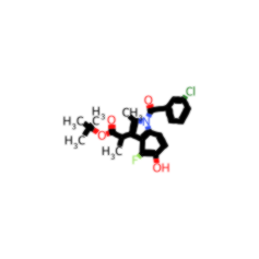 Cc1c(C(C)C(=O)OC(C)(C)C)c2c(F)c(O)ccc2n1C(=O)c1cccc(Cl)c1